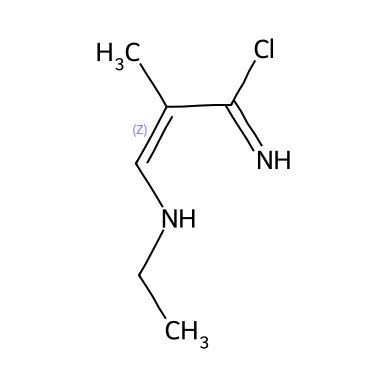 CCN/C=C(/C)C(=N)Cl